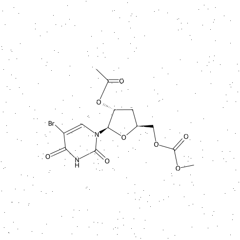 COC(=O)OC[C@@H]1C[C@@H](OC(C)=O)[C@H](n2cc(Br)c(=O)[nH]c2=O)O1